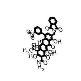 CN(C)[C@@H]1C(O)=C(C(N)=O)C(=O)[C@@]2(O)C(O)=C3C(=O)c4c(O)c(CN5C(=O)c6ccccc6C5=O)cc(-c5cccc([N+](=O)[O-])c5)c4C[C@H]3C[C@@H]12